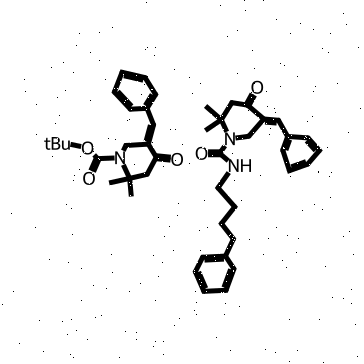 CC(C)(C)OC(=O)N1C/C(=C\c2ccccc2)C(=O)CC1(C)C.CC1(C)CC(=O)/C(=C/c2ccccc2)CN1C(=O)NCCCCc1ccccc1